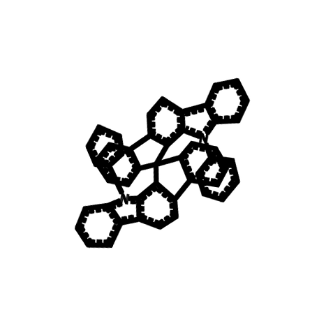 c1ccc(-n2c3ccccc3c3ccc4c(c32)C2(c3ccccc3-4)c3ccccc3-c3ccc4c5ccccc5n(-c5ccccc5)c4c32)cc1